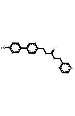 O=C(CCc1ccc(-c2ccc(O)cc2)cc1)CCc1cccnc1